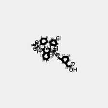 CS(=O)(=O)N[C@H]1CCCC[C@@H]1N1C(=O)c2ccccc2[C@@H](C(=O)NOCc2cccc(CC(=O)O)c2)[C@@H]1c1ccc(Cl)cc1Cl